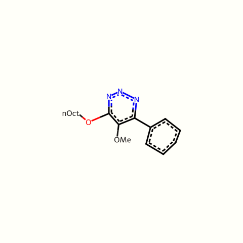 CCCCCCCCOc1nnnc(-c2ccccc2)c1OC